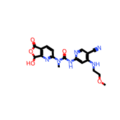 COCCNc1cc(NC(=O)N(C)c2ccc3c(n2)C(O)OC3=O)ncc1C#N